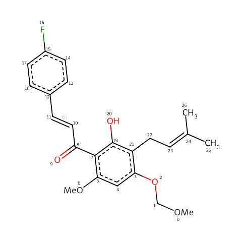 COCOc1cc(OC)c(C(=O)/C=C/c2ccc(F)cc2)c(O)c1CC=C(C)C